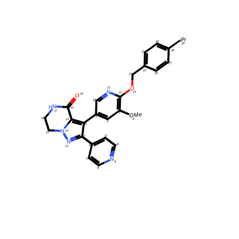 COc1cc(-c2c(-c3ccncc3)nn3c2C(=O)NCC3)cnc1OCc1ccc(C(C)C)cc1